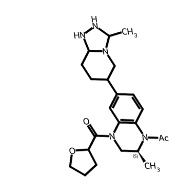 CC(=O)N1c2ccc(C3CCC4NNC(C)N4C3)cc2N(C(=O)C2CCCO2)C[C@@H]1C